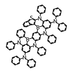 c1ccc(N(c2ccccc2)c2cc3c4c(c2)N(c2ccccc2)c2cc5c(cc2B4c2ccccc2N3c2ccccc2)B2c3c(cc(N(c4ccccc4)c4ccccc4)cc3N(c3ccccc3)c3sc4ccccc4c32)N5c2ccccc2)cc1